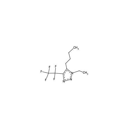 CCCCc1c(C(F)(F)C(F)(F)F)nnn1CC